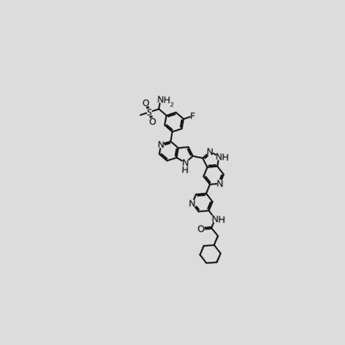 CS(=O)(=O)C(N)c1cc(F)cc(-c2nccc3[nH]c(-c4n[nH]c5cnc(-c6cncc(NC(=O)CC7CCCCC7)c6)cc45)cc23)c1